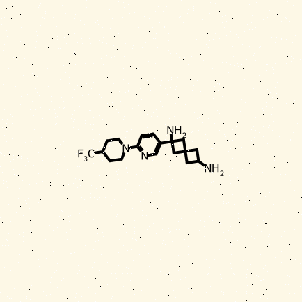 NC1CC2(C1)CC(N)(c1ccc(N3CCC(C(F)(F)F)CC3)nc1)C2